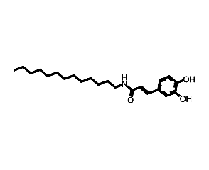 CCCCCCCCCCCCCNC(=O)/C=C/c1ccc(O)c(O)c1